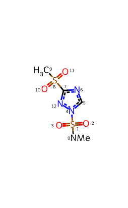 CNS(=O)(=O)n1cnc(S(C)(=O)=O)n1